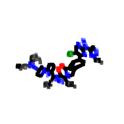 CC(NC(=O)C(C)N1Cc2ccc(-c3nc(Nc4cnn(C)n4)ncc3Cl)cc2C1=O)c1cccc(N2CC[C@@H](N(C)C)C2)n1